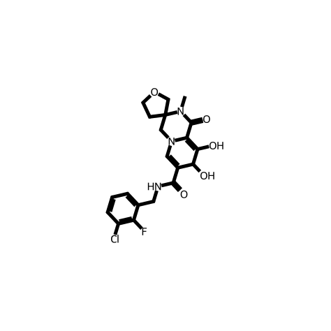 CN1C(=O)C2=C(O)C(O)C(C(=O)NCc3cccc(Cl)c3F)=CN2CC12CCOC2